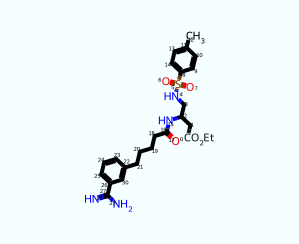 CCOC(=O)CC(CNS(=O)(=O)c1ccc(C)cc1)NC(=O)CCCCc1cccc(C(=N)N)c1